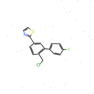 Fc1ccc(-c2cc(-c3nccs3)ccc2CCl)cc1